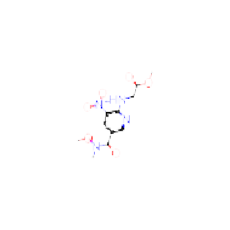 COC(=O)CNc1ncc(C(=O)N(C)OC)cc1[N+](=O)[O-]